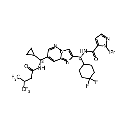 CC(C)n1nccc1C(=O)N[C@H](c1cn2ncc([C@@H](NC(=O)CC(C(F)(F)F)C(F)(F)F)C3CC3)cc2n1)C1CCC(F)(F)CC1